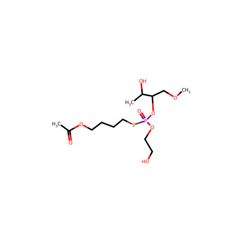 COCC(OP(=O)(OCCO)SCCCCOC(C)=O)C(C)O